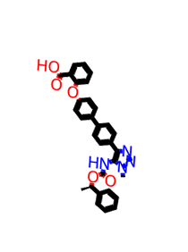 C[C@@H](OC(=O)Nc1c(-c2ccc(-c3ccc(Oc4ccccc4C(=O)O)cc3)cc2)nnn1C)c1ccccc1